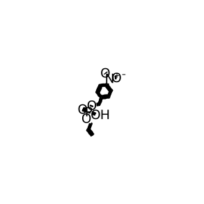 C=CCOP(=O)(O)OCc1ccc([N+](=O)[O-])cc1